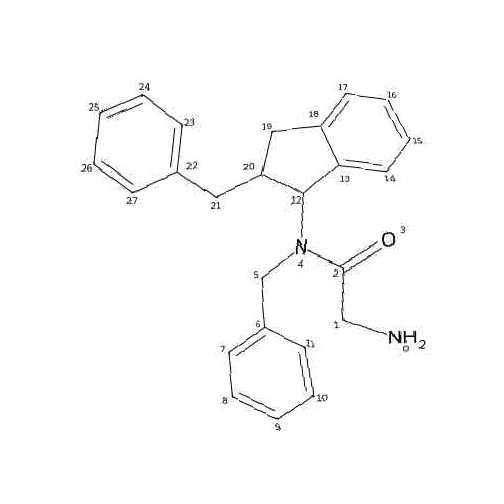 NCC(=O)N(Cc1ccccc1)C1c2ccccc2CC1Cc1ccccc1